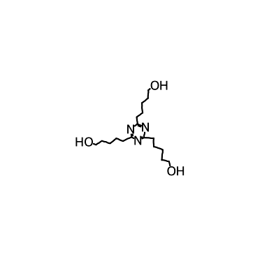 OCCCCCc1nc(CCCCCO)nc(CCCCCO)n1